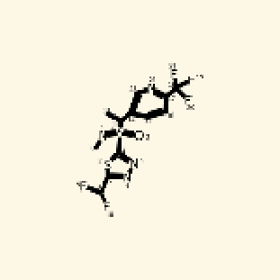 CN=S(=O)(c1nnc(C(F)F)s1)C(C)c1ccc(C(F)(F)F)nc1